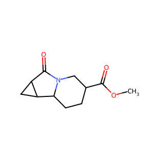 COC(=O)C1CCC2C3CC3C(=O)N2C1